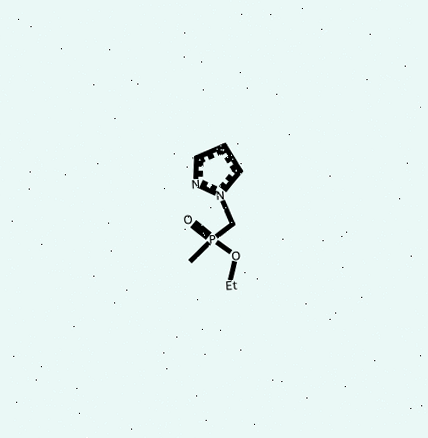 CCOP(C)(=O)Cn1cc[c]n1